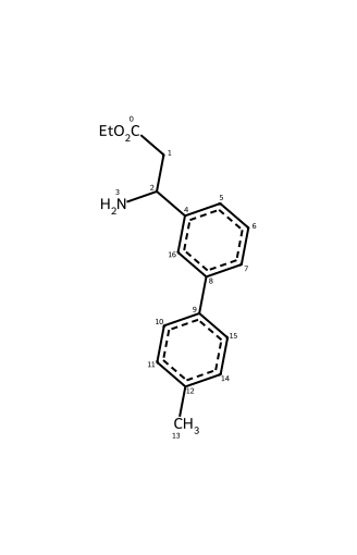 CCOC(=O)CC(N)c1cccc(-c2ccc(C)cc2)c1